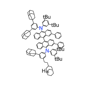 CC(C)(C)c1cc(N(c2cc(C34CC5CC(CC(C5)C3)C4)cc(C34CC5CC(CC(C5)C3)C4)c2)c2c3ccccc3c(-c3c4ccccc4c(N(c4cc(C(C)(C)C)cc(C(C)(C)C)c4)c4cc(CCC5CC6CCC[C@H](C6)C5)cc(C56CC7CC(CC(C7)C5)C6)c4)c4cc(-c5ccccc5)ccc34)c3cc(-c4ccccc4)ccc23)cc(C(C)(C)C)c1